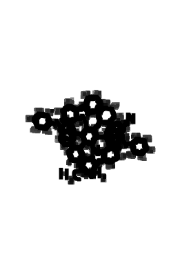 CC(N)c1cccc(-c2c(C3CCCCC3)c(-n3c4ccccc4c4ccc5c(c6ccccc6n5-c5ccccc5)c43)c(C3CCCCC3)c(-c3cccc(C#N)c3)c2-n2c3ccccc3c3ccc4c(c5ccccc5n4-c4ccccc4)c32)c1